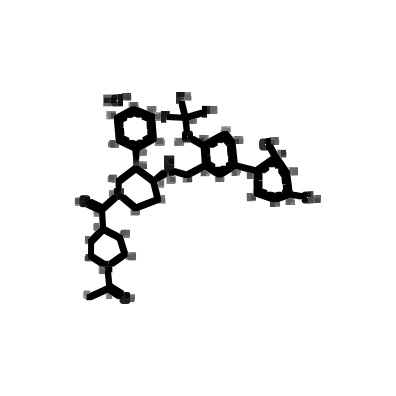 CC(=O)N1CCC(C(=O)N2CC[C@H](NCc3cc(-c4ccc(Cl)cc4Cl)ccc3OC(F)(F)F)[C@H](c3ccccc3)C2)CC1.Cl